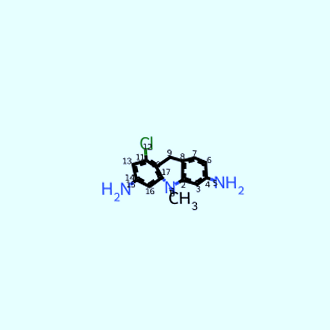 CN1c2cc(N)ccc2Cc2c(Cl)cc(N)cc21